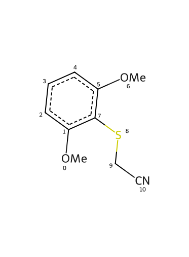 COc1cccc(OC)c1SCC#N